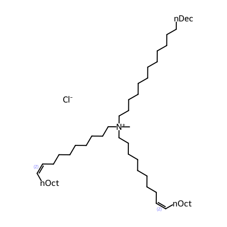 CCCCCCCC/C=C\CCCCCCCC[N+](C)(CCCCCCCC/C=C\CCCCCCCC)CCCCCCCCCCCCCCCCCCCCCC.[Cl-]